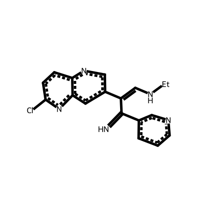 CCN/C=C(\C(=N)c1cccnc1)c1cnc2ccc(Cl)nc2c1